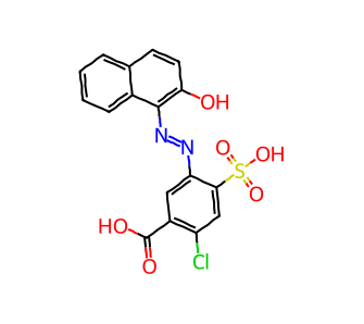 O=C(O)c1cc(N=Nc2c(O)ccc3ccccc23)c(S(=O)(=O)O)cc1Cl